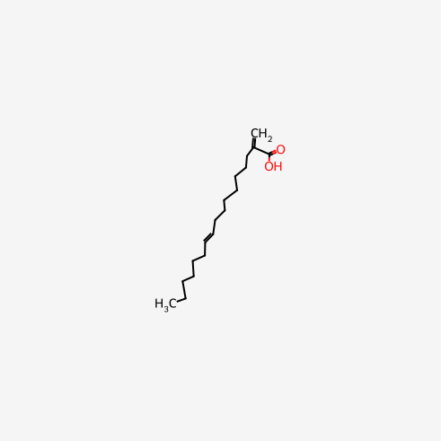 C=C(CCCCCCCC=CCCCCCC)C(=O)O